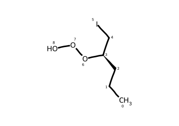 CCC[C@H](CI)OOO